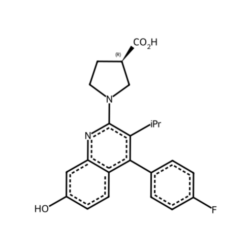 CC(C)c1c(N2CC[C@@H](C(=O)O)C2)nc2cc(O)ccc2c1-c1ccc(F)cc1